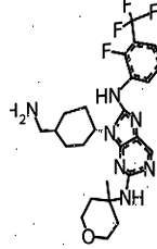 CC1(Nc2ncc3nc(Nc4cccc(C(F)(F)F)c4F)n([C@H]4CC[C@H](CN)CC4)c3n2)CCOCC1